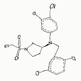 CCS(=O)(=O)N1CC[C@H](N(Cc2cc(Cl)ccc2Cl)c2ccc(C#N)c(Cl)c2)C1